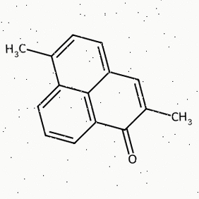 CC1=Cc2ccc(C)c3cccc(c23)C1=O